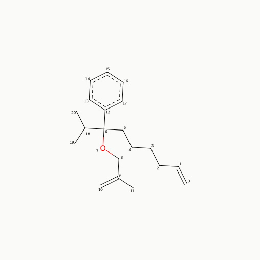 C=CCCCCC(OCC(=C)C)(c1ccccc1)C(C)C